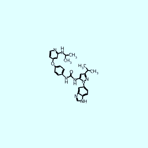 CC(C)Nc1cc(Oc2ccc(NC(=O)Nc3cc(C(C)C)nn3-c3ccc4[nH]cnc4c3)cc2)ccn1